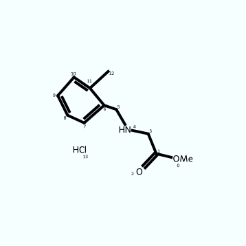 COC(=O)CNCc1ccccc1C.Cl